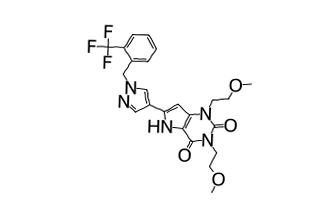 COCCn1c(=O)c2[nH]c(-c3cnn(Cc4ccccc4C(F)(F)F)c3)cc2n(CCOC)c1=O